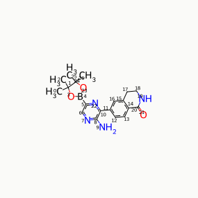 CC1(C)OB(c2cnc(N)c(-c3ccc4c(c3)CCNC4=O)n2)OC1(C)C